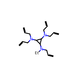 C=CCN(CC)C1C(N(CC=C)CC=C)C1N(CC=C)CC=C